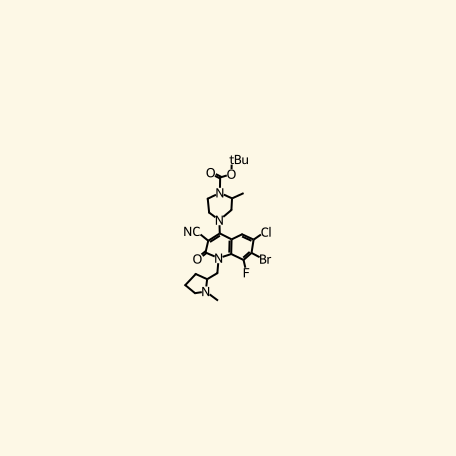 CC1CN(c2c(C#N)c(=O)n(CC3CCCN3C)c3c(F)c(Br)c(Cl)cc23)CCN1C(=O)OC(C)(C)C